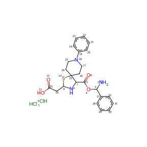 Cl.Cl.NC(OC(=O)C1NC(CC(=O)O)SC12CCN(c1ccccc1)CC2)c1ccccc1